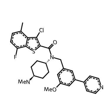 CN[C@H]1CC[C@H](N(Cc2cc(OC)cc(-c3ccncc3)c2)C(=O)c2sc3c(F)ccc(C)c3c2Cl)CC1